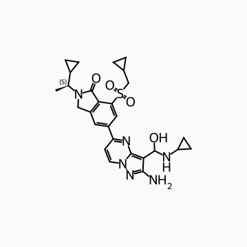 C[C@@H](C1CC1)N1Cc2cc(-c3ccn4nc(N)c(C(O)NC5CC5)c4n3)cc(S(=O)(=O)CC3CC3)c2C1=O